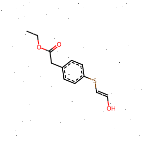 CCOC(=O)Cc1ccc(SC=CO)cc1